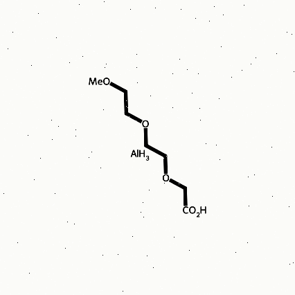 COCCOCCOCC(=O)O.[AlH3]